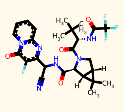 CC(C)(C)[C@H](NC(=O)C(F)(F)F)C(=O)N1C[C@H]2[C@@H]([C@H]1C(=O)NC(C#N)c1nc3ccccn3c(=O)c1F)C2(C)C